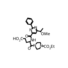 CCOC(=O)N1CCN(C(=O)C(CCC(=O)O)NC(=O)c2cc(C(C)OC)nc(-c3ccccc3)n2)CC1